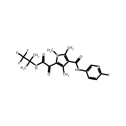 Cc1c(C(=O)Nc2ccc(F)nc2)c(C)n(C)c1C(=O)C(=O)NC(C)(C)C(F)(F)F